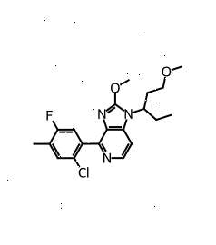 CCC(CCOC)n1c(OC)nc2c(-c3cc(F)c(C)cc3Cl)nccc21